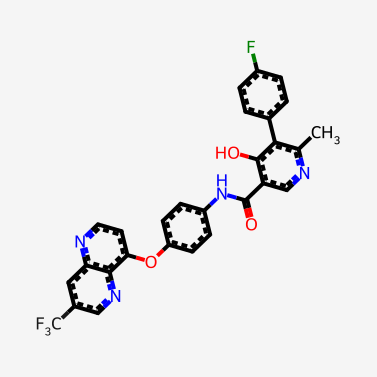 Cc1ncc(C(=O)Nc2ccc(Oc3ccnc4cc(C(F)(F)F)cnc34)cc2)c(O)c1-c1ccc(F)cc1